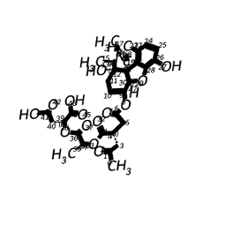 CC(=O)C[C@@H](CC(=O)OC1=CC[C@@]2(O)[C@@H](C)N(C)CC[C@@]23c2c(C)ccc(O)c2O[C@@H]13)C(=O)O[C@@H](C)C(=O)O[C@H](CC(=O)O)C(=O)O